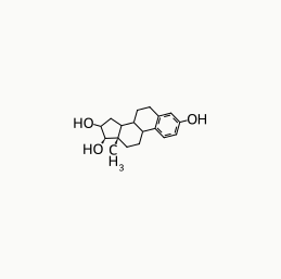 C[C@]12CCC3c4ccc(O)cc4CCC3C1CC(O)[C@@H]2O